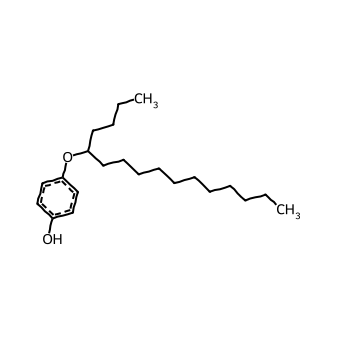 CCCCCCCCCCCC(CCCC)Oc1ccc(O)cc1